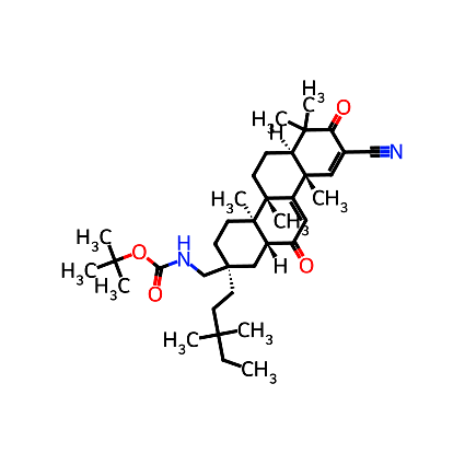 CCC(C)(C)CC[C@]1(CNC(=O)OC(C)(C)C)CC[C@]2(C)[C@@H](C1)C(=O)C=C1[C@@]3(C)C=C(C#N)C(=O)C(C)(C)[C@@H]3CC[C@]12C